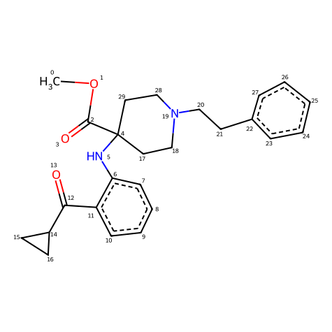 COC(=O)C1(Nc2ccccc2C(=O)C2CC2)CCN(CCc2ccccc2)CC1